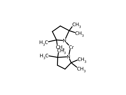 CC1(C)CCC(C)(C)[N]1[Cr][N]1C(C)(C)CCC1(C)C